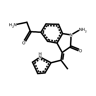 CC(=C1C(=O)N(N)c2ccc(C(=O)CN)cc21)c1ccc[nH]1